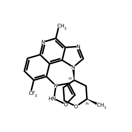 Cc1nc2ccc(C(F)(F)F)c(N3C=CON3)c2c2c1ncn2[C@@H]1CCO[C@H](C)C1